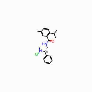 Cc1ccc(C(C)C)c(C(=O)NC[C@H](c2ccccc2)N(C)Cl)c1